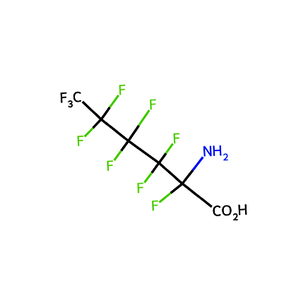 NC(F)(C(=O)O)C(F)(F)C(F)(F)C(F)(F)C(F)(F)F